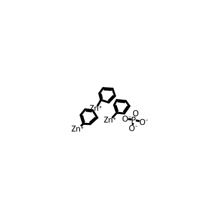 O=P([O-])([O-])[O-].[Zn+][c]1ccccc1.[Zn+][c]1ccccc1.[Zn+][c]1ccccc1